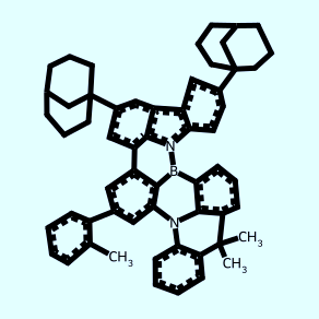 Cc1ccccc1-c1cc2c3c(c1)N1c4ccccc4C(C)(C)c4cccc(c41)B3n1c3ccc(C45CCCC(CCC4)C5)cc3c3cc(C45CCCC(CCC4)C5)cc-2c31